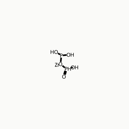 O=[PH](O)OP(O)O.[Zr]